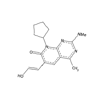 CNc1nc(C)c2cc(C=CO)c(=O)n(C3CCCC3)c2n1